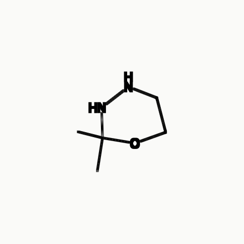 CC1(C)NNCCO1